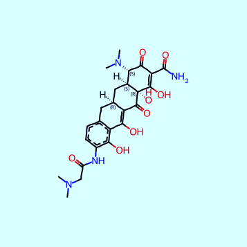 CN(C)CC(=O)Nc1ccc2c(c1O)C(O)=C1C(=O)[C@]3(O)C(O)=C(C(N)=O)C(=O)[C@@H](N(C)C)[C@@H]3C[C@@H]1C2